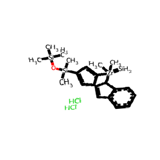 C[Si](C)(C)O[Si](C)(C)C1=CC[C]([Zr]([CH3])([CH3])(=[SiH2])[CH]2C=Cc3ccccc32)=C1.Cl.Cl